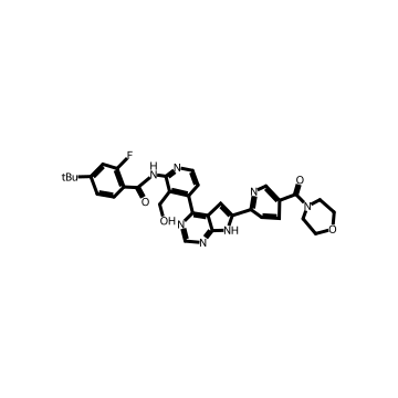 CC(C)(C)c1ccc(C(=O)Nc2nccc(-c3ncnc4[nH]c(-c5ccc(C(=O)N6CCOCC6)cn5)cc34)c2CO)c(F)c1